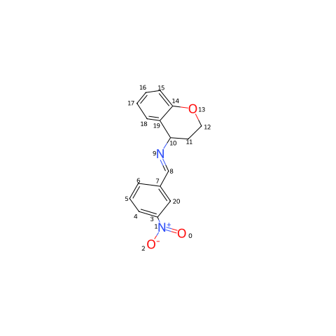 O=[N+]([O-])c1cccc(C=NC2CCOc3ccccc32)c1